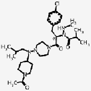 CNN(C(=O)C(C)C)[C@H](Cc1ccc(Cl)cc1)C(=O)N1CCN(N(CC(C)C)C2CCN(C(C)=O)CC2)CC1